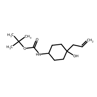 C=CCC1(O)CCC(NC(=O)OC(C)(C)C)CC1